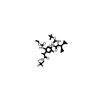 CCOC(=O)Nc1cc(NC(=O)[C@@H](NC(=O)OC(C)(C)C)C(C2CC2)C2CC2)c(F)cc1C(C)C(=O)NCC(F)(F)F